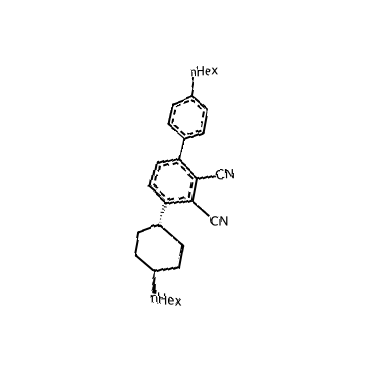 CCCCCCc1ccc(-c2ccc([C@H]3CC[C@H](CCCCCC)CC3)c(C#N)c2C#N)cc1